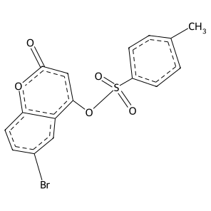 Cc1ccc(S(=O)(=O)Oc2cc(=O)oc3ccc(Br)cc23)cc1